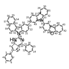 C1=C(c2ccccc2)SC2=C(c3ccccc3)N=C(n3c4ccc(-c5ccc6c7ccccc7n(-c7ccc8oc9ccccc9c8c7)c6c5)cc4c4c5ccccc5ccc43)NC12